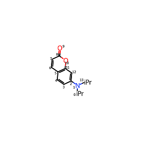 CC(C)N(c1ccc2ccc(=O)oc2c1)C(C)C